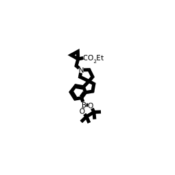 CCOC(=O)C1(CN2CCC3(CCc4c(B5OC(C)(C)C(C)(C)O5)cccc43)C2)CC1